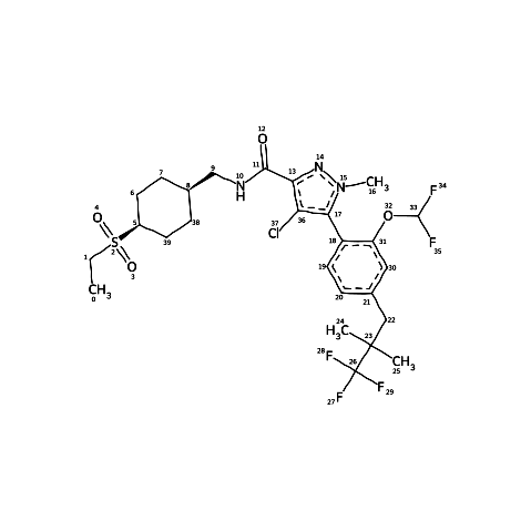 CCS(=O)(=O)[C@H]1CC[C@@H](CNC(=O)c2nn(C)c(-c3ccc(CC(C)(C)C(F)(F)F)cc3OC(F)F)c2Cl)CC1